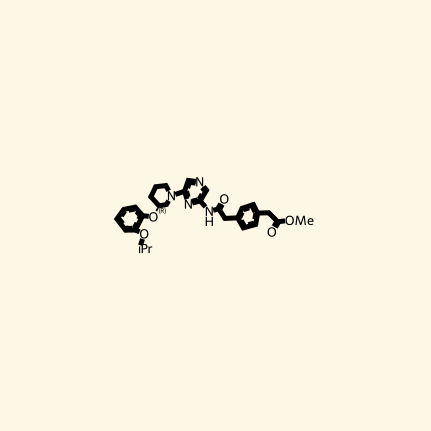 COC(=O)Cc1ccc(CC(=O)Nc2cncc(N3CCC[C@@H](Oc4ccccc4OC(C)C)C3)n2)cc1